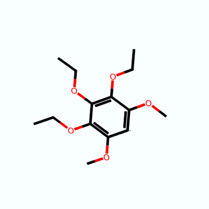 CCOc1c(OC)[c]c(OC)c(OCC)c1OCC